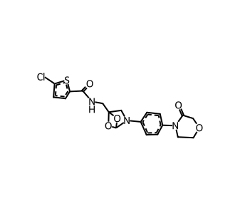 O=C(NCC12CN(c3ccc(N4CCOCC4=O)cc3)C(O1)O2)c1ccc(Cl)s1